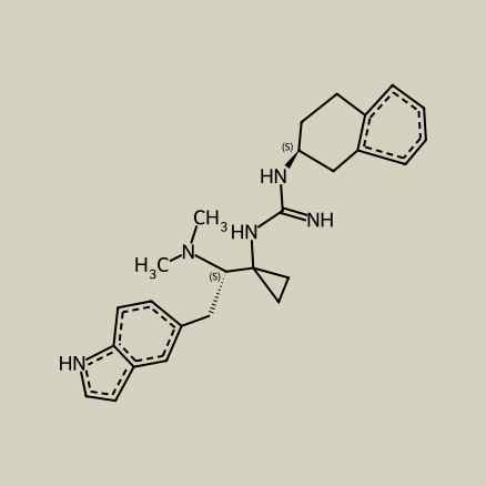 CN(C)[C@@H](Cc1ccc2[nH]ccc2c1)C1(NC(=N)N[C@H]2CCc3ccccc3C2)CC1